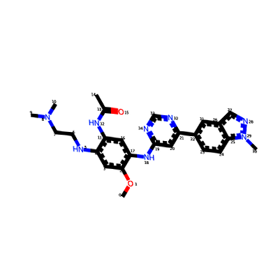 COc1cc(NCCN(C)C)c(NC(C)=O)cc1Nc1cc(-c2ccc3c(cnn3C)c2)ncn1